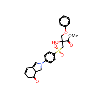 COC(=O)C(O)(COc1ccccc1)CS(=O)(=O)c1ccc(N2C=C3C=CCC(=O)C3C2)cc1